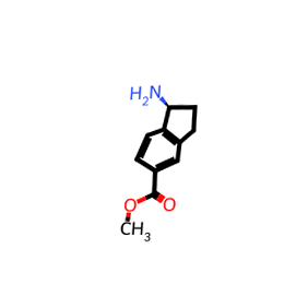 COC(=O)c1ccc2c(c1)CC[C@@H]2N